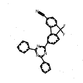 N#Cc1ccc2c(c1)-c1cc(-c3nc(-c4ccccc4)nc(-c4ccccc4)n3)ccc1C2(F)F